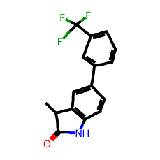 CC1C(=O)Nc2ccc(-c3cccc(C(F)(F)F)c3)cc21